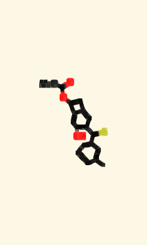 COC(=O)OC1=Cc2cc(C(=S)c3cccc(C)c3)c(O)cc21